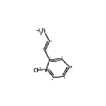 NC=Cc1ccccc1Cl